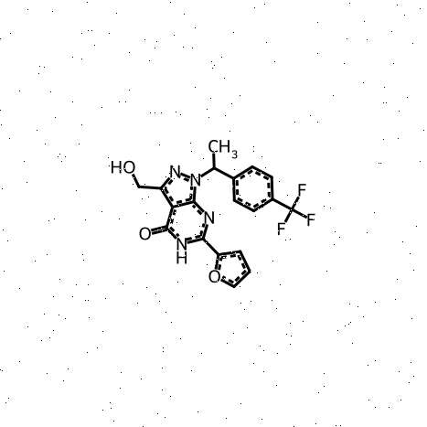 CC(c1ccc(C(F)(F)F)cc1)n1nc(CO)c2c(=O)[nH]c(-c3ccco3)nc21